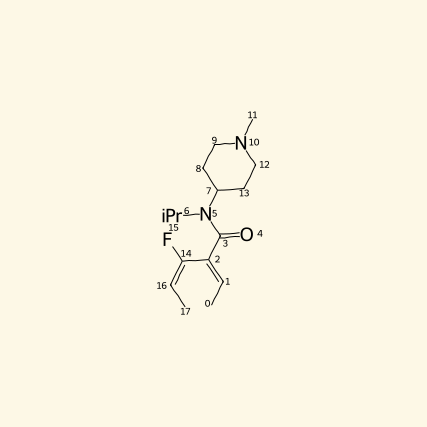 C/C=C(C(=O)N(C(C)C)C1CCN(C)CC1)\C(F)=C/C